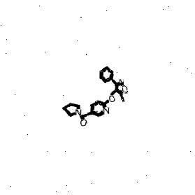 Cc1onc(-c2ccccc2)c1COc1ccc(C(=O)N2CCCC2)cn1